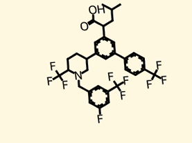 CC(C)CC(C(=O)O)c1cc(-c2ccc(C(F)(F)F)cc2)cc(C2CCC(C(F)(F)F)N(Cc3cc(F)cc(C(F)(F)F)c3)C2)c1